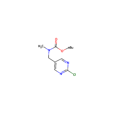 CCCCOC(=O)N(C)Cc1cnc(Cl)nc1